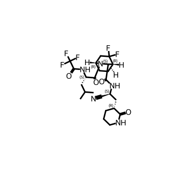 CC(C)C[C@H](NC(=O)C(F)(F)F)C(=O)N1[C@@H]2CC[C@H]([C@H]1C(=O)N[C@H](C#N)C[C@H]1CCCNC1=O)C(F)(F)C2